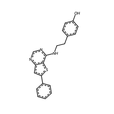 Oc1ccc(CCNc2ncnc3cc(-c4ccccc4)sc23)cc1